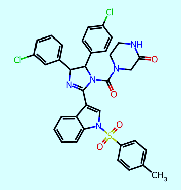 Cc1ccc(S(=O)(=O)n2cc(C3=NC(c4cccc(Cl)c4)C(c4ccc(Cl)cc4)N3C(=O)N3CCNC(=O)C3)c3ccccc32)cc1